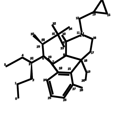 CCC[C@@H](CC)C(CC1C(C)N(CC2CC2)CCC1(CC)c1c(C)cccc1C)[C@@H](C)C(C)(C)C